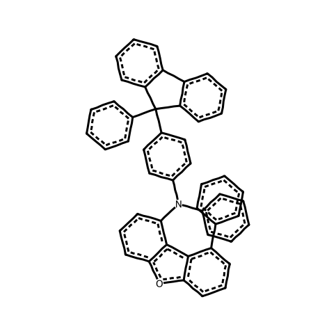 c1ccc(-c2cccc3oc4cccc(N(c5ccccc5)c5ccc(C6(c7ccccc7)c7ccccc7-c7ccccc76)cc5)c4c23)cc1